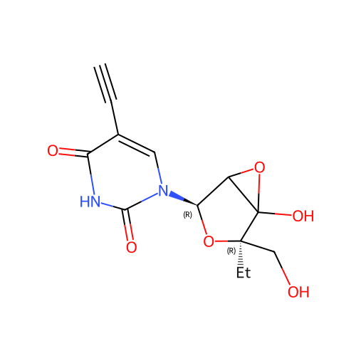 C#Cc1cn([C@@H]2O[C@](CC)(CO)C3(O)OC23)c(=O)[nH]c1=O